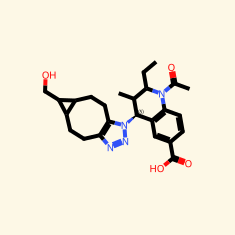 CCC1C(C)[C@H](n2nnc3c2CCC2C(CO)C2CC3)c2cc(C(=O)O)ccc2N1C(C)=O